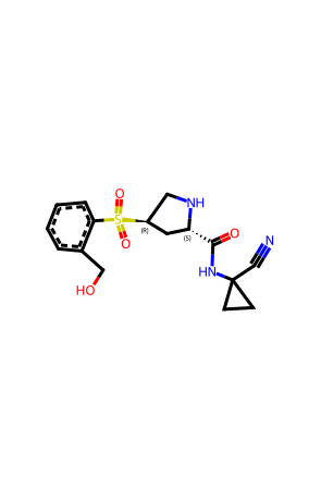 N#CC1(NC(=O)[C@@H]2C[C@@H](S(=O)(=O)c3ccccc3CO)CN2)CC1